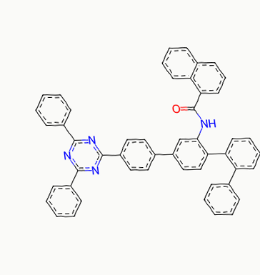 O=C(Nc1cc(-c2ccc(-c3nc(-c4ccccc4)nc(-c4ccccc4)n3)cc2)ccc1-c1ccccc1-c1ccccc1)c1cccc2ccccc12